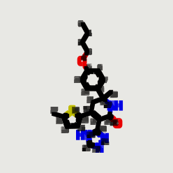 CCCCOc1ccc(C2(C)CC(c3ccc(C)s3)=C(c3nnc[nH]3)C(=O)N2)cc1